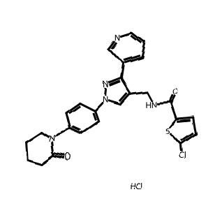 Cl.O=C(NCc1cn(-c2ccc(N3CCCCC3=O)cc2)nc1-c1cccnc1)c1ccc(Cl)s1